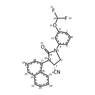 N#C[C@H]1CN(c2cccc(OC(F)F)c2)C(=O)N1c1cncc2ccccc12